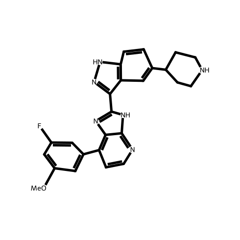 COc1cc(F)cc(-c2ccnc3[nH]c(-c4n[nH]c5ccc(C6CCNCC6)cc45)nc23)c1